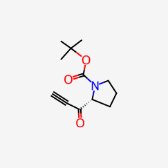 C#CC(=O)[C@H]1CCCN1C(=O)OC(C)(C)C